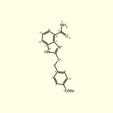 COc1ccc(CSc2nc3c(C(N)=O)cccc3[nH]2)cc1